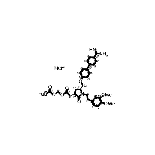 COc1ccc(CCN2C(=O)[C@H](CC(=O)OCOC(=O)C(C)(C)C)C[C@H]2COc2ccc(-c3ccc(C(=N)N)cc3)cc2)cc1OC.Cl